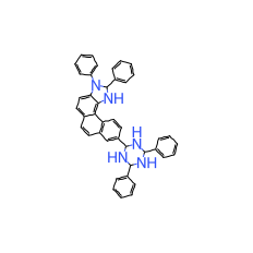 c1ccc(C2NC(c3ccccc3)NC(c3ccc4c(ccc5ccc6c(c54)NC(c4ccccc4)N6c4ccccc4)c3)N2)cc1